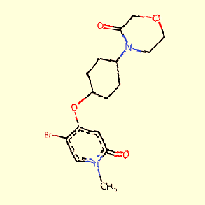 Cn1cc(Br)c(OC2CCC(N3CCOCC3=O)CC2)cc1=O